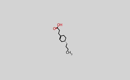 CCCC[C@@H]1CC=C(CCC(=O)O)CC1